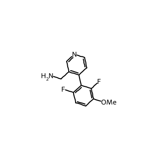 COc1ccc(F)c(-c2ccncc2CN)c1F